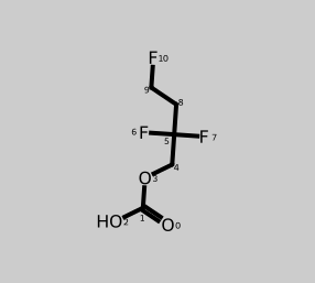 O=C(O)OCC(F)(F)CCF